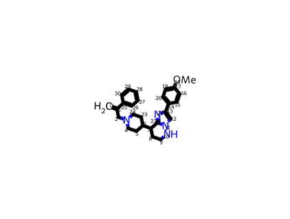 C=C(CN1CCC(C2CCNn3cc(-c4ccc(OC)cc4)nc32)CC1)c1ccccc1